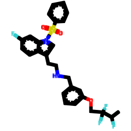 CC(F)C(F)(F)COc1cccc(CNCCc2cn(S(=O)(=O)c3ccccc3)c3cc(F)ccc23)c1